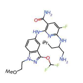 COCCn1nc(OC(F)F)c2cc(Nc3nc(NC(CN)CC(C)C)c(F)cc3C(N)=O)ccc21